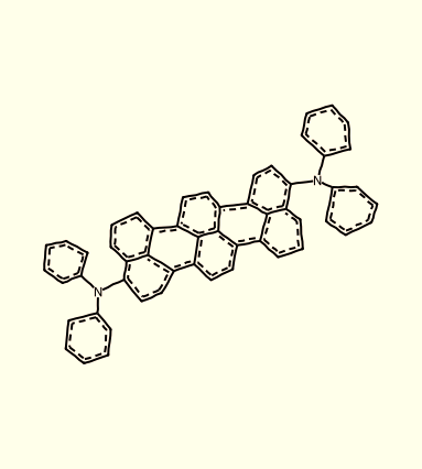 c1ccc(N(c2ccccc2)c2ccc3c4ccc5c6cccc7c(N(c8ccccc8)c8ccccc8)ccc(c8ccc(c9cccc2c93)c4c58)c76)cc1